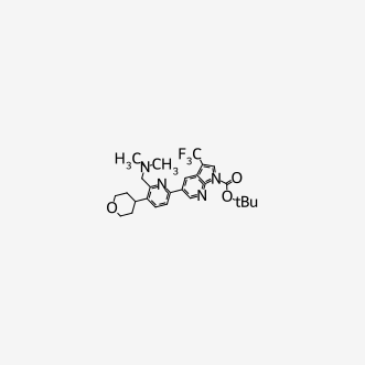 CN(C)Cc1nc(-c2cnc3c(c2)c(C(F)(F)F)cn3C(=O)OC(C)(C)C)ccc1C1CCOCC1